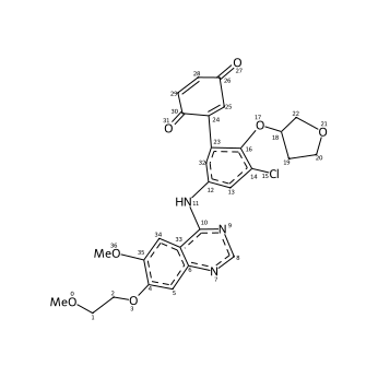 COCCOc1cc2ncnc(Nc3cc(Cl)c(OC4CCOC4)c(C4=CC(=O)C=CC4=O)c3)c2cc1OC